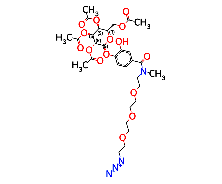 CC(=O)OC[C@H]1O[C@@H](Oc2ccc(C(=O)N(C)CCOCCOCCOCCN=[N+]=[N-])cc2O)[C@H](OC(C)=O)[C@@H](OC(C)=O)[C@H]1OC(C)=O